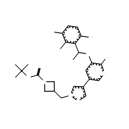 CC(Oc1cc(-c2cnn(CC3CN(C(=O)OC(C)(C)C)C3)c2)cnc1N)c1c(Cl)ccc(F)c1Cl